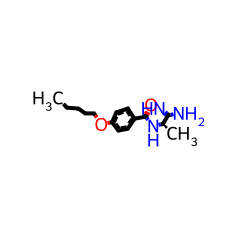 CCCCCOc1ccc(C(=O)N[C@H](C)C(=N)N)cc1